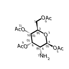 CC(=O)OC[C@H]1O[C@@H](OC(C)=O)[C@H](N)[C@H](OC(C)=O)[C@@H]1OC(C)=O